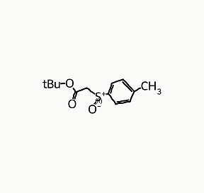 Cc1ccc([S@@+]([O-])CC(=O)OC(C)(C)C)cc1